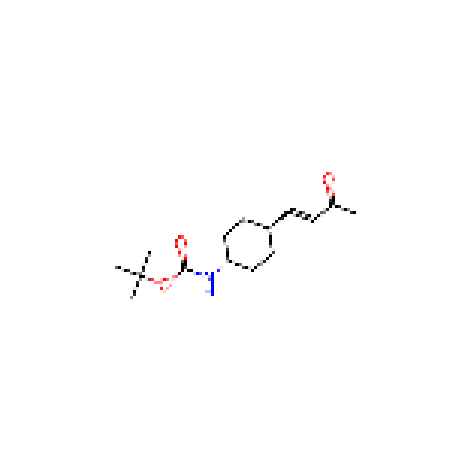 CC(=O)/C=C/[C@H]1CC[C@H](NC(=O)OC(C)(C)C)CC1